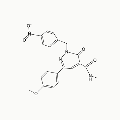 CNC(=O)c1cc(-c2ccc(OC)cc2)nn(Cc2ccc([N+](=O)[O-])cc2)c1=O